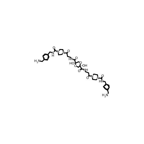 NCc1ccc(CNC(=O)N2CCN(C(=O)CCNC(=O)[C@@]3(O)CO[C@@](O)(C(=O)NCCC(=O)N4CCN(C(=O)NCc5ccc(CN)cc5)CC4)CO3)CC2)cc1